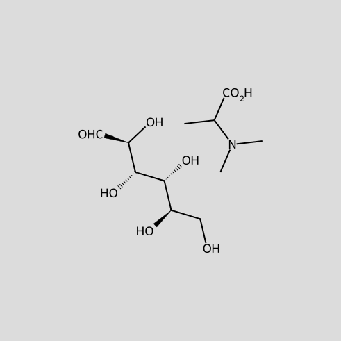 CC(C(=O)O)N(C)C.O=C[C@@H](O)[C@@H](O)[C@H](O)[C@H](O)CO